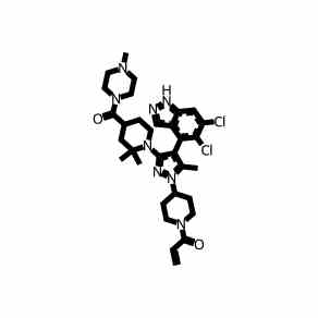 C=CC(=O)N1CCC(n2nc(N3CCC(C(=O)N4CCN(C)CC4)CC3(C)C)c(-c3c(Cl)c(Cl)cc4[nH]ncc34)c2C)CC1